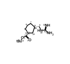 CC(C)(C)OC(=O)N1CCC[C@H](CNC(=N)N)C1